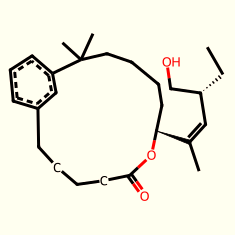 CC[C@H](/C=C(/C)[C@@H]1CCCCC(C)(C)c2cccc(c2)CCCCC(=O)O1)CO